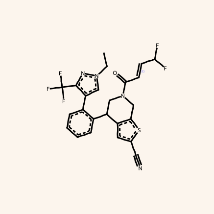 CCn1cc(-c2ccccc2C2CN(C(=O)/C=C/C(F)F)Cc3sc(C#N)cc32)c(C(F)(F)F)n1